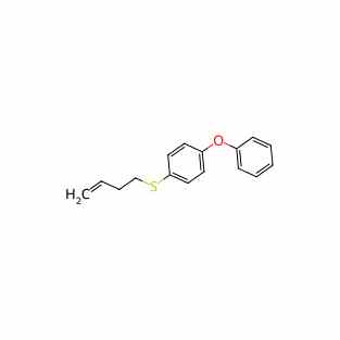 C=CCCSc1ccc(Oc2ccccc2)cc1